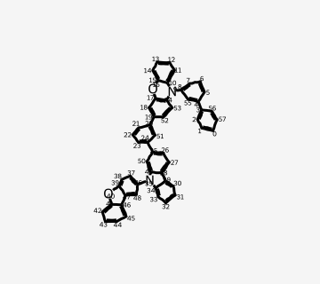 c1ccc(-c2cccc(N3c4ccccc4Oc4cc(-c5cccc(-c6ccc7c8ccccc8n(-c8ccc9oc%10ccccc%10c9c8)c7c6)c5)ccc43)c2)cc1